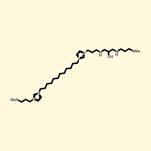 CNCCCNCC(O)CNCCC[n+]1ccn(CCCCCCCCCCCCn2cc[n+](CCCNC)c2)c1